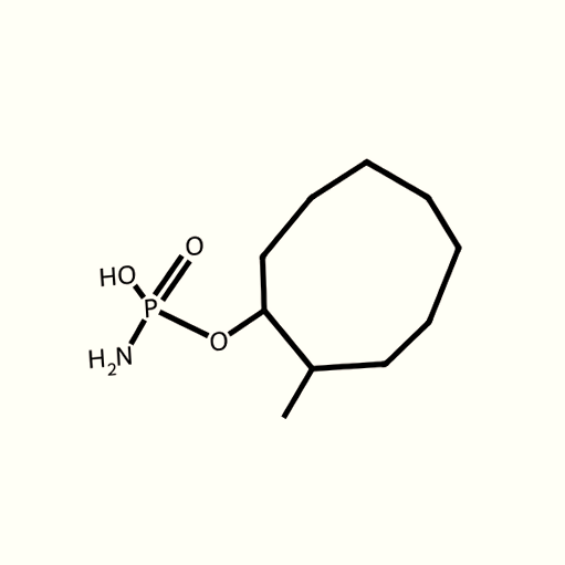 CC1CCCCCCCC1OP(N)(=O)O